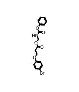 O=C(CCOc1ccc(Br)cc1)OCNC(=O)Oc1ccccc1